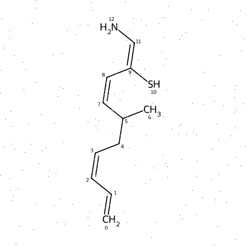 C=C/C=C\CC(C)/C=C\C(S)=C/N